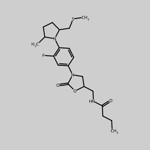 CCCC(=O)NCC1CN(c2ccc(N3C(C)CCC3CSC)c(F)c2)C(=O)O1